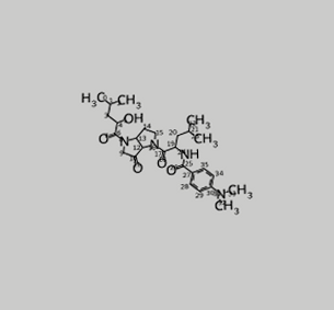 CC(C)CC(O)C(=O)N1CC(=O)C2C1CCN2C(=O)C(CC(C)C)NC(=O)c1ccc(N(C)C)cc1